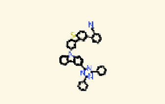 N#Cc1ccccc1-c1ccc2sc3ccc(-n4c5ccccc5c5cc(-c6nc(-c7ccccc7)nc(-c7ccccc7)n6)ccc54)cc3c2c1